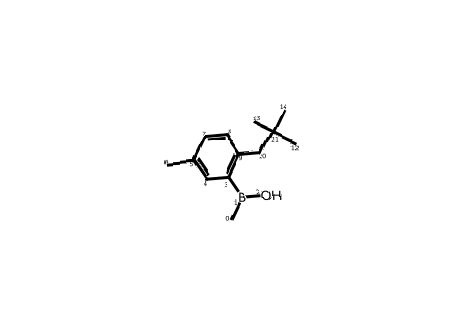 CB(O)c1cc(C)ccc1CC(C)(C)C